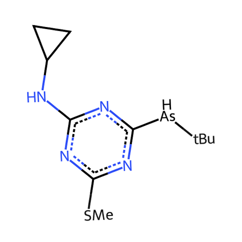 CSc1nc(NC2CC2)nc([AsH]C(C)(C)C)n1